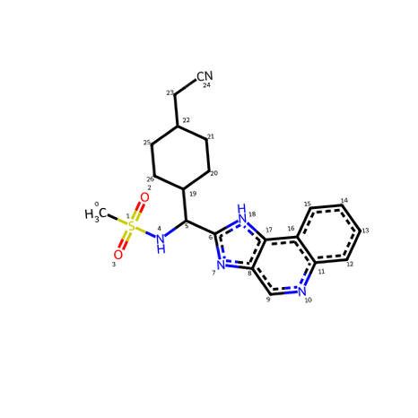 CS(=O)(=O)NC(c1nc2cnc3ccccc3c2[nH]1)C1CCC(CC#N)CC1